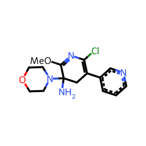 COC1=NC(Cl)=C(c2cccnc2)CC1(N)N1CCOCC1